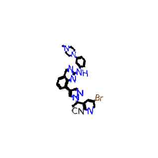 CN1CCN(c2cccc(Nc3ncc4cccc(-c5cnn(C(CC#N)c6cncc(Br)c6)c5)c4n3)c2)CC1